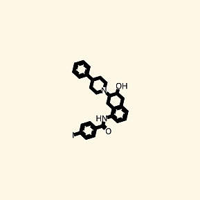 O=C(Nc1cccc2c1CC(N1CCC(c3ccccc3)CC1)C(O)C2)c1ccc(I)cc1